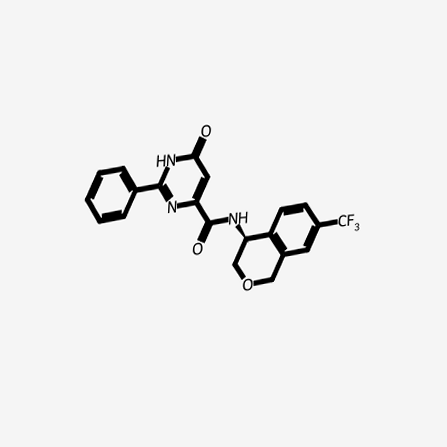 O=C(N[C@@H]1COCc2cc(C(F)(F)F)ccc21)c1cc(=O)[nH]c(-c2ccccc2)n1